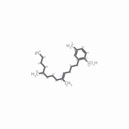 C/C(=C\CCCc1cc(C)ccc1S(=O)(=O)O)CCCC(C)CCCC(C)C